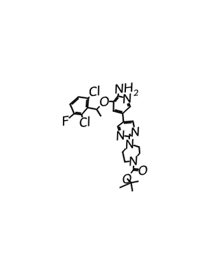 CC(Oc1cc(-c2cnc(N3CCN(C(=O)OC(C)(C)C)CC3)nc2)cnc1N)c1c(Cl)ccc(F)c1Cl